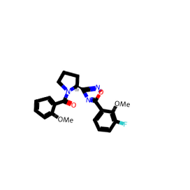 COc1ccccc1C(=O)N1CCC[C@H]1c1noc(-c2cccc(F)c2OC)n1